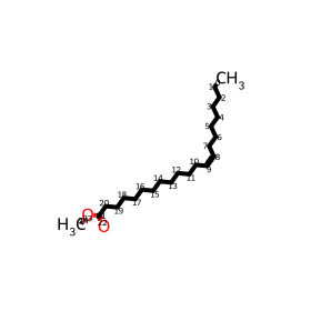 CCCCCCCC/C=C\CCCCCCCCCCCC(=O)OC